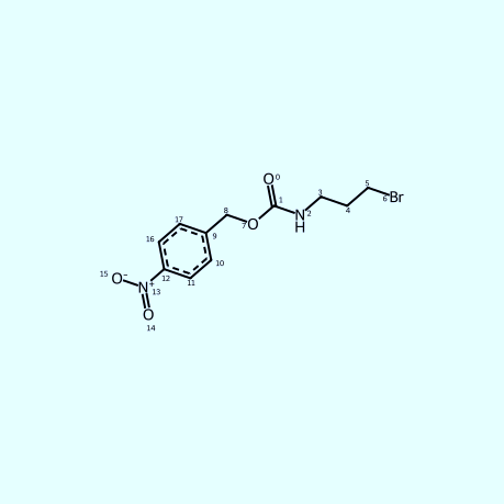 O=C(NCCCBr)OCc1ccc([N+](=O)[O-])cc1